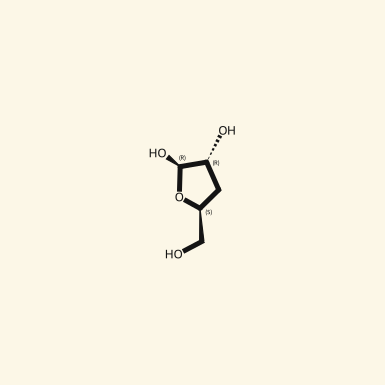 OC[C@@H]1C[C@@H](O)[C@H](O)O1